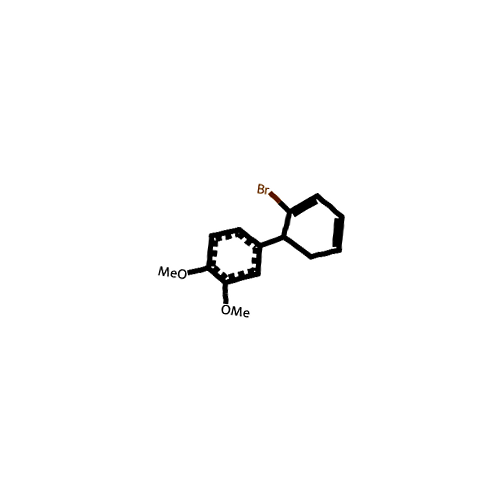 COc1ccc(C2CC=CC=C2Br)cc1OC